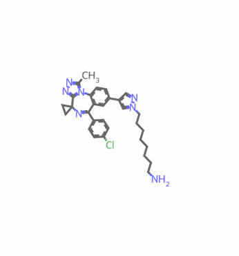 Cc1nnc2n1-c1ccc(-c3cnn(CCCCCCCCN)c3)cc1C(c1ccc(Cl)cc1)=NC21CC1